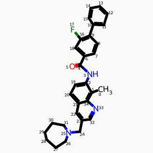 Cc1c(NC(=O)c2ccc(-c3ccccc3)c(F)c2)ccc2cc(CN3CCCCCC3)cnc12